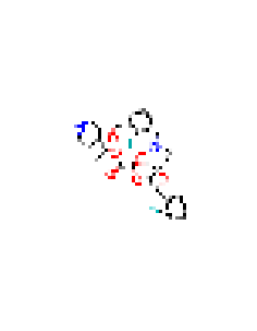 CC(OC(=O)C(=O)OC(C)C1(OCc2ccccc2F)CCN(C)CC1)C1(OCc2ccccc2F)CCN(C)CC1